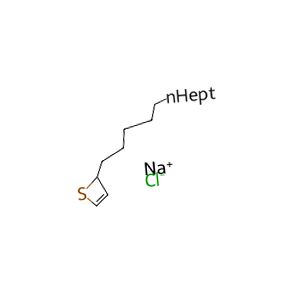 CCCCCCCCCCCCC1C=CS1.[Cl-].[Na+]